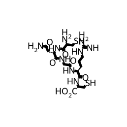 N=C(N)NCCC[C@H](NC(=O)CNC(=O)[C@H](CC(N)=O)NC(=O)[C@@H](N)CS)C(=O)N[C@@H](CS)C(=O)O